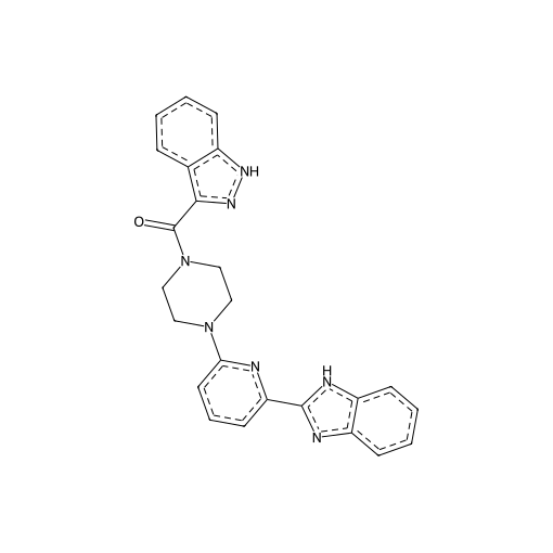 O=C(c1n[nH]c2ccccc12)N1CCN(c2cccc(-c3nc4ccccc4[nH]3)n2)CC1